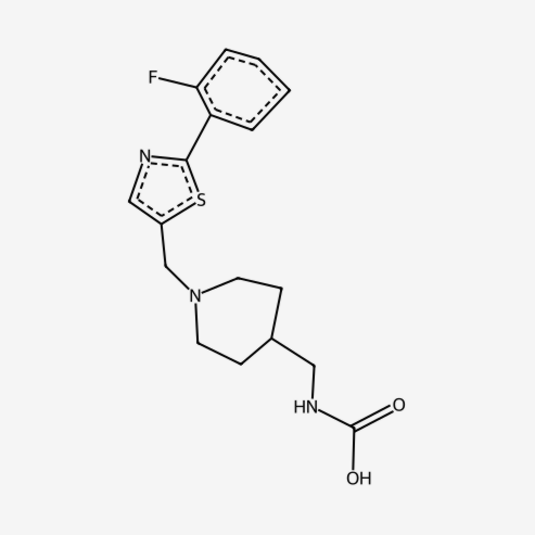 O=C(O)NCC1CCN(Cc2cnc(-c3ccccc3F)s2)CC1